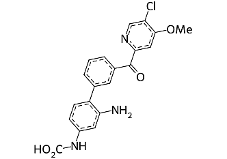 COc1cc(C(=O)c2cccc(-c3ccc(NC(=O)O)cc3N)c2)ncc1Cl